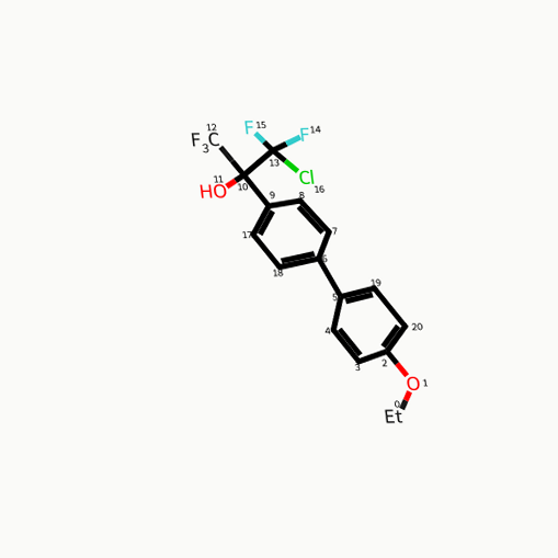 CCOc1ccc(-c2ccc(C(O)(C(F)(F)F)C(F)(F)Cl)cc2)cc1